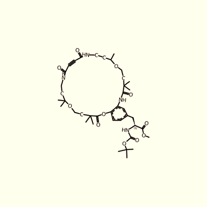 COC(=O)[C@H](Cc1ccc2c(c1)NC(=O)C(C)(C)CCOC(C)CCNC(=O)C#CC(=O)NCCC(C)(C)OCCC(C)(C)C(=O)O2)NC(=O)OC(C)(C)C